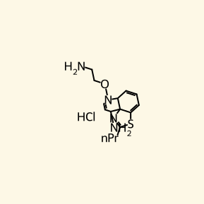 CCCC1=NC23C(=CC=CC2N(OCCN)C=CC3N)S1.Cl